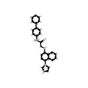 O=C(COc1ccc(-n2ccnc2)c2ccccc12)Nc1ccc(-c2ccccc2)cc1